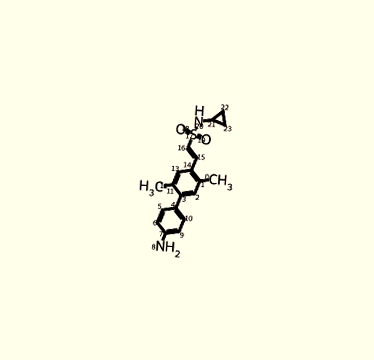 Cc1cc(-c2ccc(N)cc2)c(C)cc1/C=C/S(=O)(=O)NC1CC1